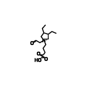 CCC1C[N+](CC=O)(CCCS(=O)(=O)O)CC1CC